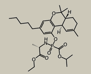 CCCCCc1cc2c(c(OP(=O)(N[C@@H](C)C(=O)OCC)C(=O)OC(C)C)c1)[C@@H]1C=C(C)CC[C@H]1C(C)(C)O2